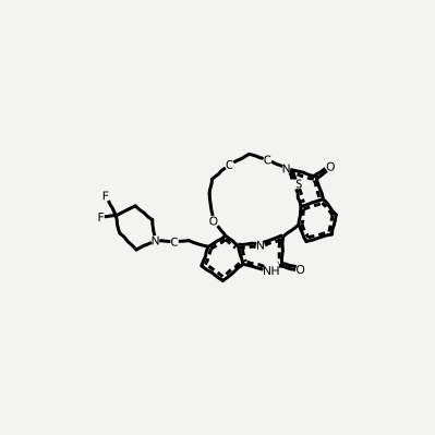 O=c1[nH]c2ccc(CCN3CCC(F)(F)CC3)c3c2nc1-c1cccc2c(=O)n(sc12)CCCCCO3